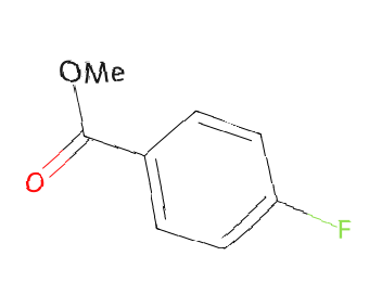 [CH2]OC(=O)c1ccc(F)cc1